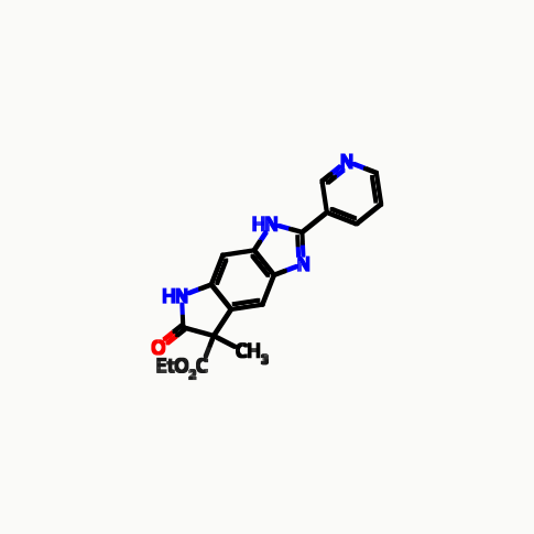 CCOC(=O)C1(C)C(=O)Nc2cc3[nH]c(-c4cccnc4)nc3cc21